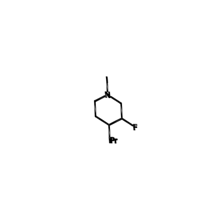 CC(C)C1CCN(I)CC1F